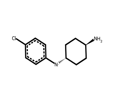 N[C@H]1CC[C@H]([N]c2ccc(Cl)cc2)CC1